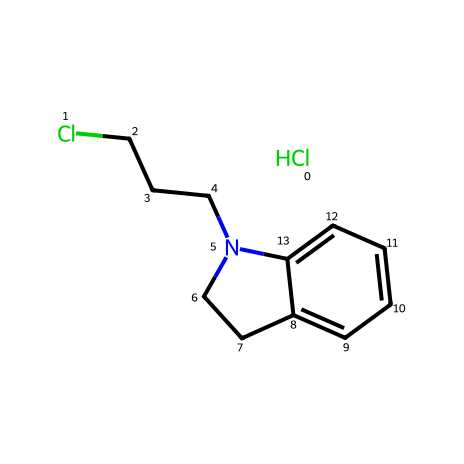 Cl.ClCCCN1CCc2ccccc21